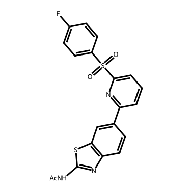 CC(=O)Nc1nc2ccc(-c3cccc(S(=O)(=O)c4ccc(F)cc4)n3)cc2s1